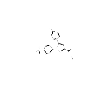 CCOC(=O)c1cc(-c2ccc(Br)cc2)n(-c2ccc(S(C)(=O)=O)c(F)c2)n1